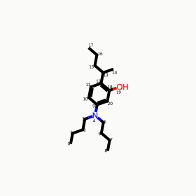 CCCCN(CCCC)c1ccc(C(C)CCC)c(O)c1